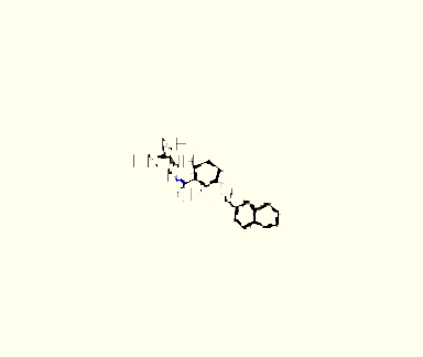 C/C(=N/NC(=N)N)c1cccc(OCc2ccc3ccccc3c2)c1